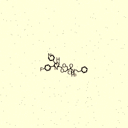 CC1(C(=O)NCCc2ccccc2)COC(c2nc(-c3ccc(F)cc3)c(-c3ccncc3)[nH]2)OC1